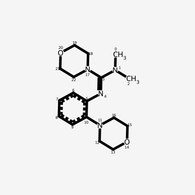 CN(C)C(=Nc1ccccc1N1CCOCC1)N1CCOCC1